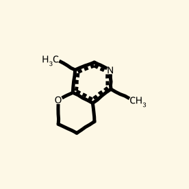 Cc1cnc(C)c2c1OCCC2